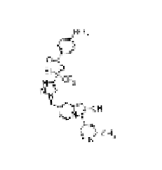 CCC(OC(=O)c1ccc([N+](=O)[O-])cc1)(c1cn(Cc2ccn3c(-c4ccnc(C)c4)c(C#N)cc3c2)nn1)C(F)(F)F